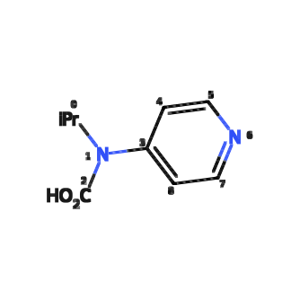 CC(C)N(C(=O)O)c1ccncc1